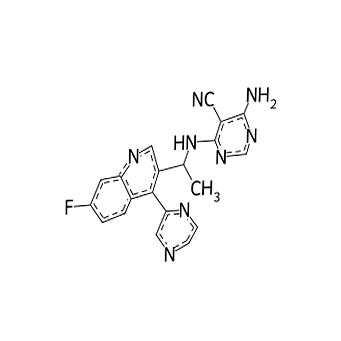 CC(Nc1ncnc(N)c1C#N)c1cnc2cc(F)ccc2c1-c1cnccn1